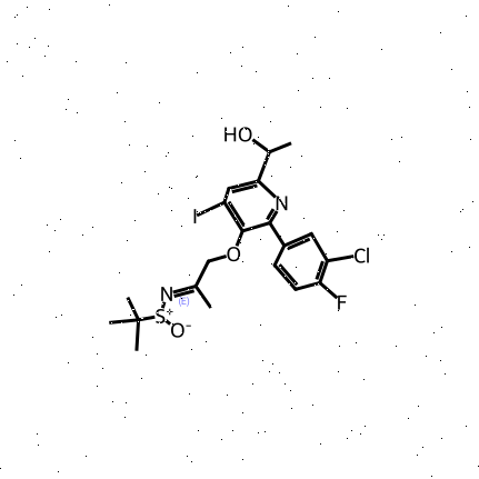 C/C(COc1c(I)cc(C(C)O)nc1-c1ccc(F)c(Cl)c1)=N\[S+]([O-])C(C)(C)C